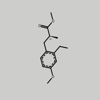 CCc1cc(OC)ccc1C[C@H](C)C(=O)OC